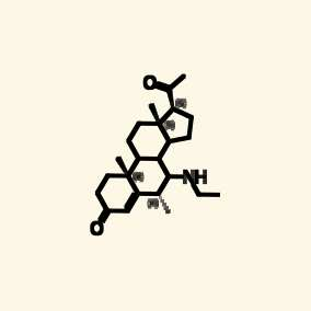 CCNC1C2C(CC[C@@]3(C)C2CC[C@@H]3C(C)=O)[C@@]2(C)CCC(=O)C=C2[C@H]1C